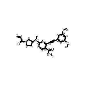 C=CC(=O)N1CCC(N(C)c2ncc(C(N)=O)c(C#Cc3cc(OC)cc(OC)c3)n2)C1